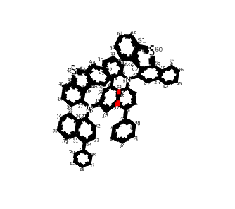 c1ccc(-c2ccc(N(c3ccccc3-c3cccc(N(c4ccc(-c5ccccc5)c5ccccc45)c4cccc5sc6ccccc6c45)c3)c3cc4ccccc4c4sc5ccccc5c34)cc2)cc1